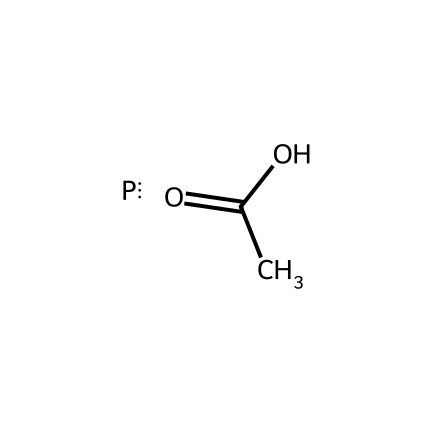 CC(=O)O.[P]